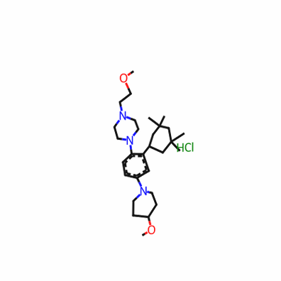 COCCN1CCN(c2ccc(N3CCC(OC)CC3)cc2C2CC(C)(C)CC(C)(C)C2)CC1.Cl